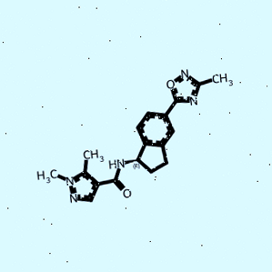 Cc1noc(-c2ccc3c(c2)CC[C@H]3NC(=O)c2cnn(C)c2C)n1